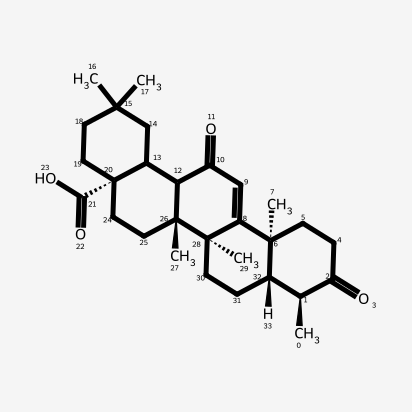 C[C@@H]1C(=O)CC[C@]2(C)C3=CC(=O)C4C5CC(C)(C)CC[C@]5(C(=O)O)CC[C@@]4(C)[C@]3(C)CC[C@@H]12